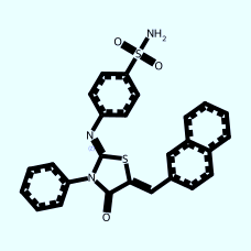 NS(=O)(=O)c1ccc(/N=C2\SC(=Cc3ccc4ccccc4c3)C(=O)N2c2ccccc2)cc1